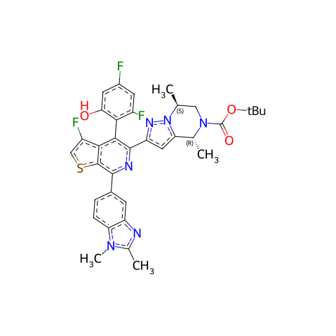 Cc1nc2cc(-c3nc(-c4cc5n(n4)[C@@H](C)CN(C(=O)OC(C)(C)C)[C@@H]5C)c(-c4c(O)cc(F)cc4F)c4c(F)csc34)ccc2n1C